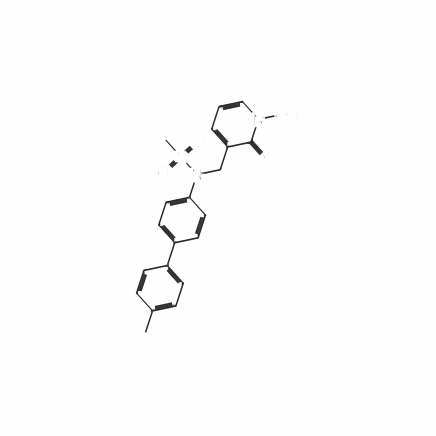 Cc1ccc(-c2ccc(N(Cc3cccn(O)c3=S)S(C)(=O)=O)cc2)cc1